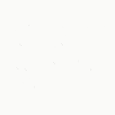 [2H]C([2H])([2H])n1ncc2c1-c1ccnc(c1)[C@@H](N1CCC(c3c(C(F)F)ccc(Cl)c3F)=CC1=O)CCC[C@@H](C)C(=O)N2